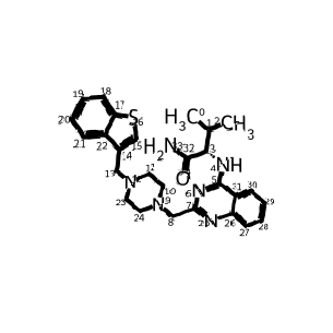 CC(C)[C@H](Nc1nc(CN2CCN(Cc3csc4ccccc34)CC2)nc2ccccc12)C(N)=O